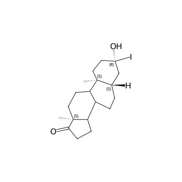 C[C@]12CCC3C(CC[C@H]4C[C@](O)(I)CC[C@]34C)C1CCC2=O